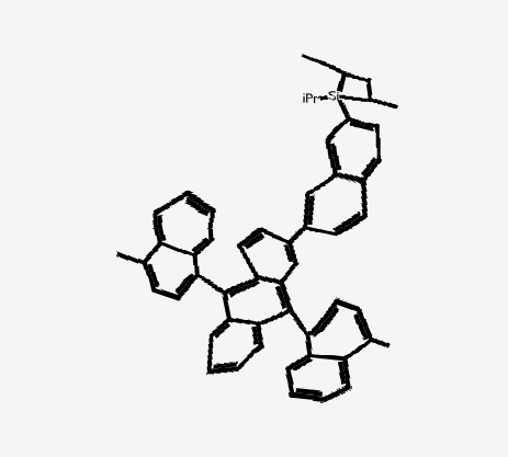 Cc1ccc(-c2c3ccccc3c(-c3ccc(C)c4ccccc34)c3cc(-c4ccc5ccc([Si]6(C(C)C)C(C)CC6C)cc5c4)ccc23)c2ccccc12